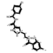 CCc1ccc(C(C#N)NC(=O)C2=CN(CCNC(=O)c3ccc(F)cc3OC)NN2)cc1